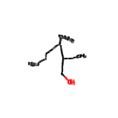 CCCCCC(OC)C(C)CO